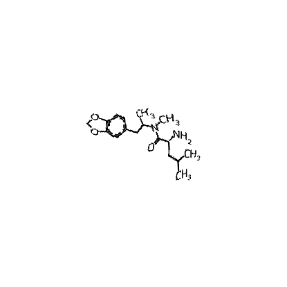 CC(C)C[C@H](N)C(=O)N(C)C(C)Cc1ccc2c(c1)OCO2